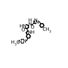 Cc1ccc(Cn2cc(C(=O)Nc3c[nH]c(=O)c(-c4cc5cc(CN6CCN(C)CC6)ccc5[nH]4)c3)cn2)cc1